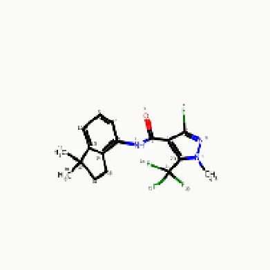 Cn1nc(F)c(C(=O)Nc2cccc3c2CCC3(C)C)c1C(F)(F)F